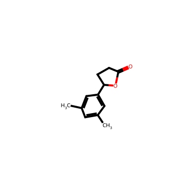 Cc1cc(C)cc(C2CCC(=O)O2)c1